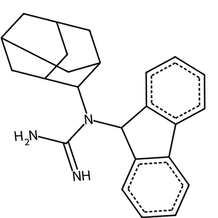 N=C(N)N(C1c2ccccc2-c2ccccc21)C1C2CC3CC(C2)CC1C3